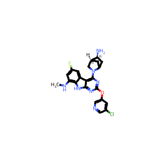 CNc1cc(F)cc2c1[nH]c1nc(Oc3cncc(Cl)c3)nc(N3C[C@@H]4CC3C[C@@H]4N)c12